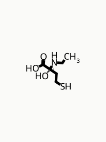 CCN[C@@](O)(CCS)C(=O)O